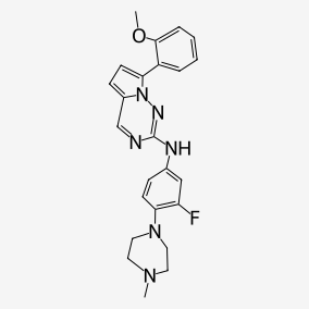 COc1ccccc1-c1ccc2cnc(Nc3ccc(N4CCN(C)CC4)c(F)c3)nn12